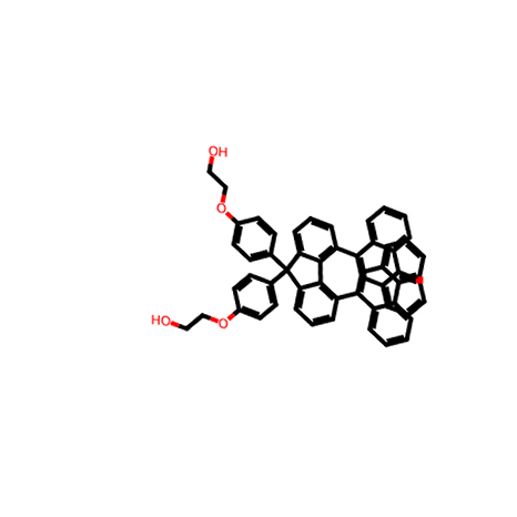 OCCOc1ccc(C2(c3ccc(OCCO)cc3)c3cccc(-c4cc5ccccc5c5ccccc45)c3-c3c(-c4cc5ccccc5c5ccccc45)cccc32)cc1